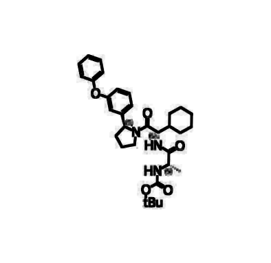 C[C@H](NC(=O)OC(C)(C)C)C(=O)N[C@H](C(=O)N1CCC[C@H]1c1cccc(Oc2ccccc2)c1)C1CCCCC1